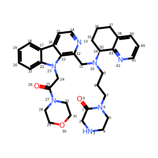 O=C1CNCCN1CCCN(Cc1nccc2c3ccccc3n(CC(=O)N3CCOCC3)c12)[C@H]1CCCc2cccnc21